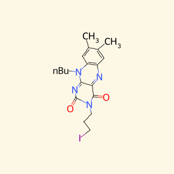 CCCCn1c2nc(=O)n(CCCI)c(=O)c-2nc2cc(C)c(C)cc21